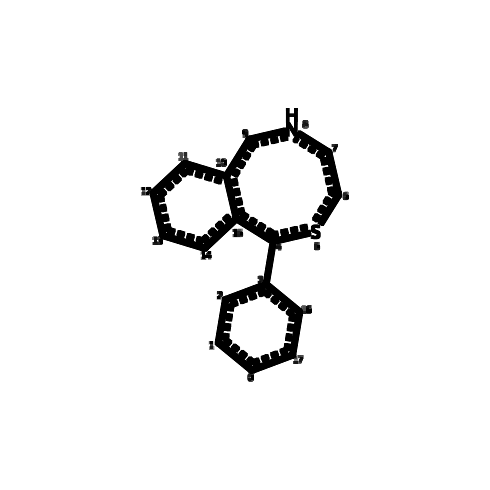 c1ccc(-c2scc[nH]cc3ccccc23)cc1